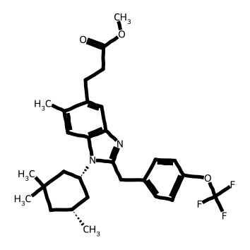 COC(=O)CCc1cc2nc(Cc3ccc(OC(F)(F)F)cc3)n([C@@H]3C[C@H](C)CC(C)(C)C3)c2cc1C